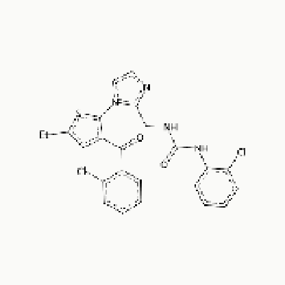 CCc1cc(C(=O)c2ccccc2Cl)c(-n2ccnc2CNC(=O)Nc2ccccc2Cl)s1